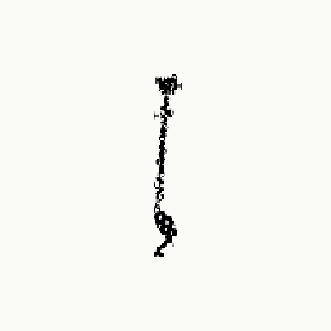 CC(C)CCC[C@@H](C)[C@H]1CC[C@H]2[C@@H]3CC=C4C[C@H](OCCOCCOCCOCCOCCOCCOCCOCCNC(=O)CCCC[C@@H]5SC[C@@H]6NC(=O)N[C@@H]65)CC[C@]4(C)[C@H]3CC[C@]12C